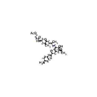 CC(=O)OC/C=C\C(=O)N[C@H]1CO[C@@H](C/C=C(C)/C=C/[C@H]2O[C@H](CC(=O)NCc3ccc(N)cc3)C[C@]3(O[C@@H]3C)[C@@H]2O)[C@@H](C)C1